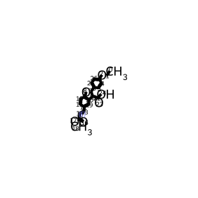 CCOc1ccc(C2Oc3ccc(/C=C/C(=O)OC)cc3C2C(=O)O)cc1